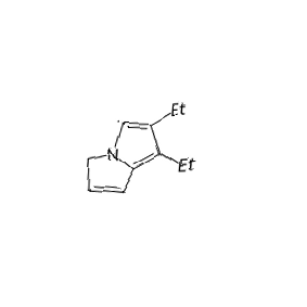 CCc1[c]n2c(c1CC)C=CC2